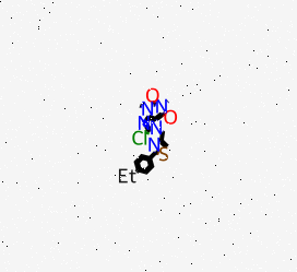 CCc1ccc(-c2nc(Cn3c(Cl)nc4c3c(=O)n(C)c(=O)n4C)cs2)cc1